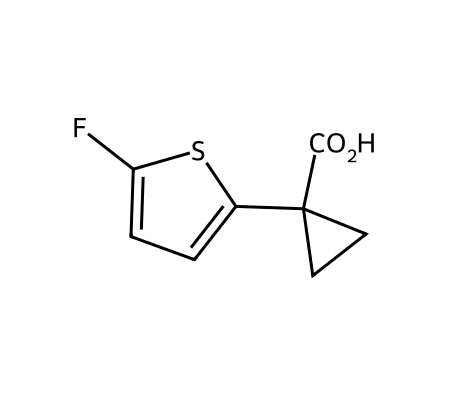 O=C(O)C1(c2ccc(F)s2)CC1